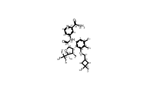 C[C@@H]1[C@@H](c2ccc(F)c(F)c2OCC2CC(F)(F)C2)[C@@H](C(=O)Nc2ccnc(C(N)=O)c2)O[C@]1(C)C(F)(F)F